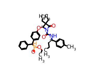 CCC[C@@H](NC(=O)N1C(=O)C(CC)(CC)[C@@H]1Oc1ccc(C(c2ccccc2)[PH](=O)OCC)cc1)c1ccc(C)cc1